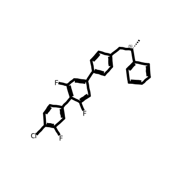 C[C@@H](Cc1ccc(-c2cc(F)c(-c3ccc(Cl)c(F)c3)c(F)c2)cc1)c1ccccc1